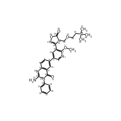 COc1ncc(-c2ccc3nc(N)n(-c4ccccc4)c(=O)c3c2)cc1-c1noc(=O)n1COCC[Si](C)(C)C